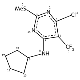 CSc1nc(Cl)c(C(F)(F)F)c(NC2CCCC2)n1